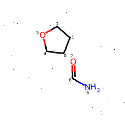 C1CCOC1.NC=O